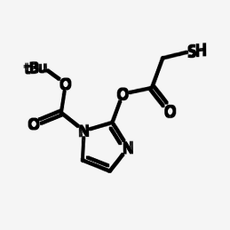 CC(C)(C)OC(=O)n1ccnc1OC(=O)CS